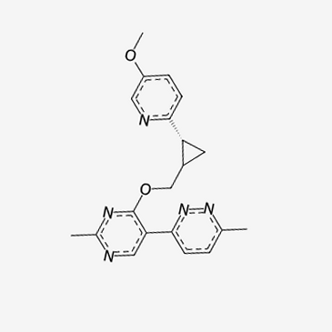 COc1ccc([C@@H]2CC2COc2nc(C)ncc2-c2ccc(C)nn2)nc1